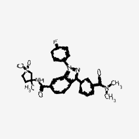 CN(C)C(=O)c1cccc(-c2nn(-c3ccc(F)cc3)c3cc(C(=O)NC4(C)CCS(=O)(=O)C4)ccc23)c1